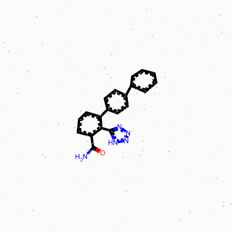 NC(=O)c1cccc(-c2ccc(-c3[c]cccc3)cc2)c1-c1nnn[nH]1